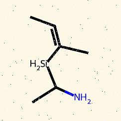 CC=C(C)[SiH2]C(C)N